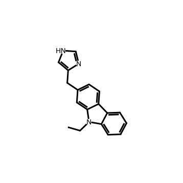 CCn1c2ccccc2c2ccc(Cc3c[nH]cn3)cc21